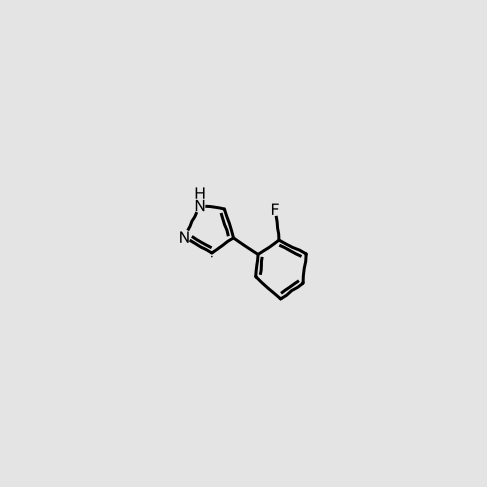 Fc1ccccc1-c1[c]n[nH]c1